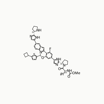 COC(=O)N[C@H](C(=O)N1CCC[C@H]1c1ncc(-c2cc(F)c3c(c2)OC(c2ccc(C4CCC4)s2)n2c-3cc3cc(-c4cnc([C@@H]5CCCN5)[nH]4)ccc32)[nH]1)C(C)C